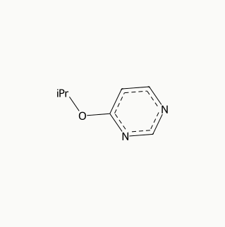 CC(C)Oc1ccncn1